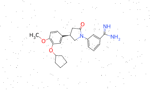 COc1ccc([C@H]2CC(=O)N(c3cccc(C(=N)N)c3)C2)cc1OC1CCCC1